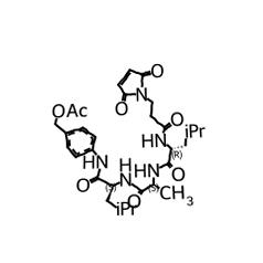 CC(=O)OCc1ccc(NC(=O)[C@H](CC(C)C)NC(=O)[C@H](C)NC(=O)[C@@H](CC(C)C)NC(=O)CCN2C(=O)C=CC2=O)cc1